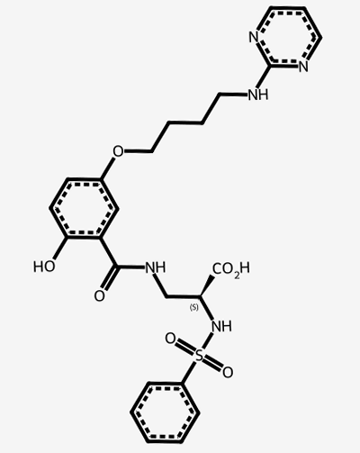 O=C(NC[C@H](NS(=O)(=O)c1ccccc1)C(=O)O)c1cc(OCCCCNc2ncccn2)ccc1O